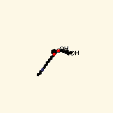 CCCC/C=C/CCCCCCCCCc1cccc(OCC(O)COC(C)(C)C(C)CO)c1